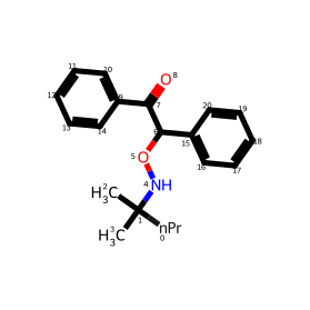 CCCC(C)(C)NOC(C(=O)c1ccccc1)c1ccccc1